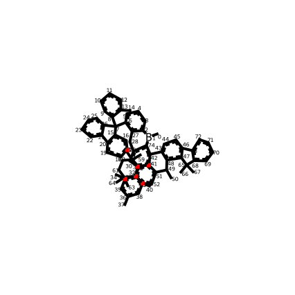 CB1c2cccc(C3(c4ccccc4C)c4ccccc4-c4ccccc43)c2Cc2cc(-c3c(C)cc(C)cc3C)cc(-c3ccc4c(c3C(C)c3ccc5c(c3)C(C)(C)CCC5(C)C)C(C)(C)c3ccccc3-4)c21